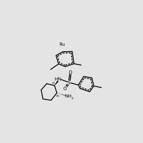 Cc1ccc(S(=O)(=O)N[C@@H]2CCCC[C@H]2N)cc1.Cc1cccc(C)c1.[Ru]